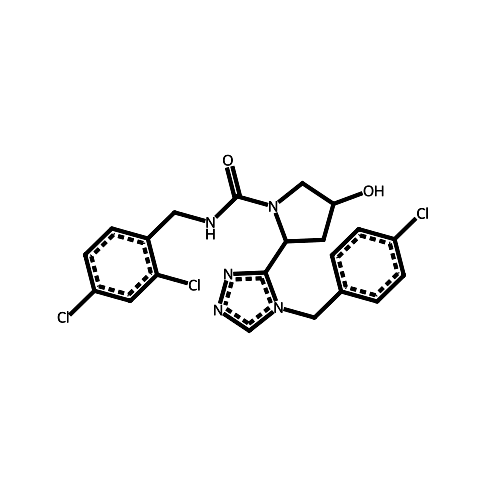 O=C(NCc1ccc(Cl)cc1Cl)N1CC(O)CC1c1nncn1Cc1ccc(Cl)cc1